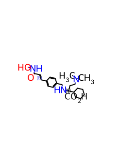 CN(C)CC[C@@](NCc1ccc(/C=C/C(=O)NO)cc1)(C(=O)O)C1CCCCC1